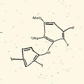 COc1cc(F)c(F)c(Nc2ccc(I)cc2F)c1N=O